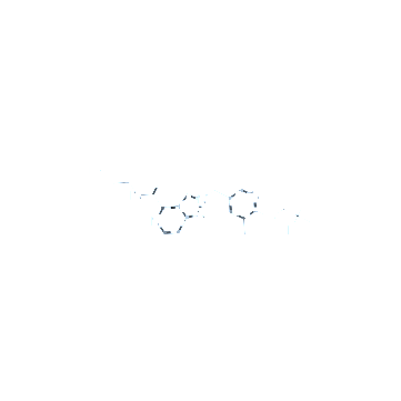 Cc1cc(Cn2cc3c(C(=O)NCCO)nccc3n2)cnc1OCC(C)(F)F